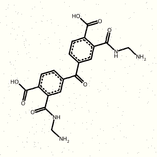 NCNC(=O)c1cc(C(=O)c2ccc(C(=O)O)c(C(=O)NCN)c2)ccc1C(=O)O